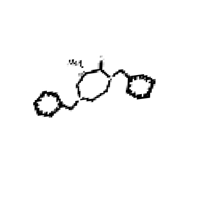 CN[C@H]1CN(Cc2ccccc2)CCN(Cc2ccccc2)C1=O